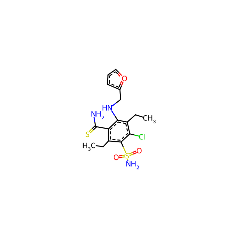 CCc1c(Cl)c(S(N)(=O)=O)c(CC)c(C(N)=S)c1NCc1ccco1